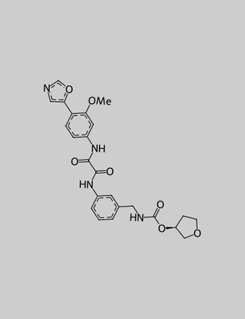 COc1cc(NC(=O)C(=O)Nc2cccc(CNC(=O)O[C@H]3CCOC3)c2)ccc1-c1cnco1